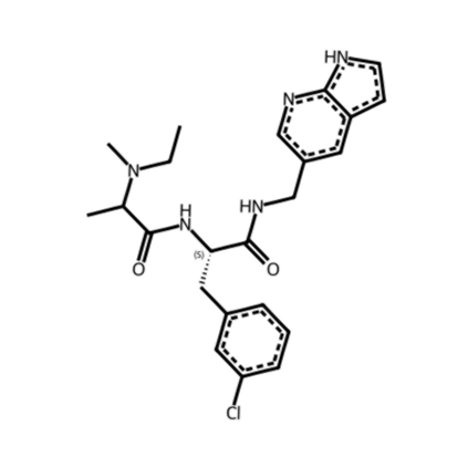 CCN(C)C(C)C(=O)N[C@@H](Cc1cccc(Cl)c1)C(=O)NCc1cnc2[nH]ccc2c1